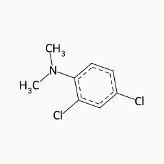 CN(C)c1ccc(Cl)cc1Cl